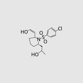 CC(O)C[C@H]1CCCC(/C=C\O)N1S(=O)(=O)c1ccc(Cl)cc1